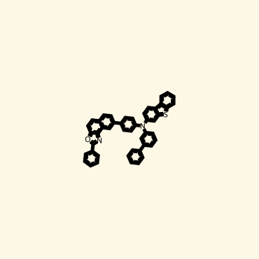 c1ccc(-c2cccc(N(c3ccc(-c4ccc5ccc6oc(-c7ccccc7)nc6c5c4)cc3)c3ccc4c(c3)sc3ccccc34)c2)cc1